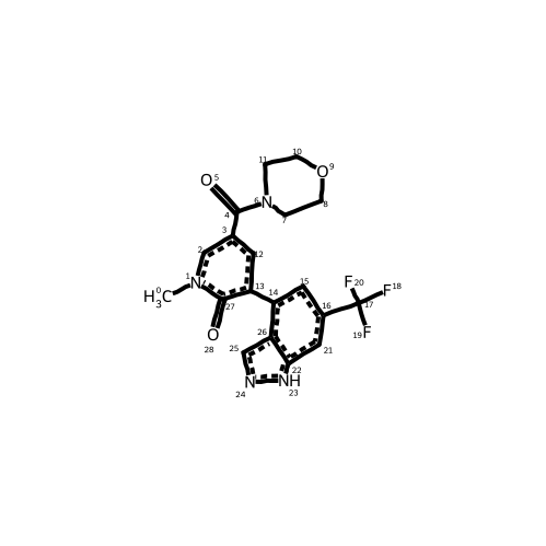 Cn1cc(C(=O)N2CCOCC2)cc(-c2cc(C(F)(F)F)cc3[nH]ncc23)c1=O